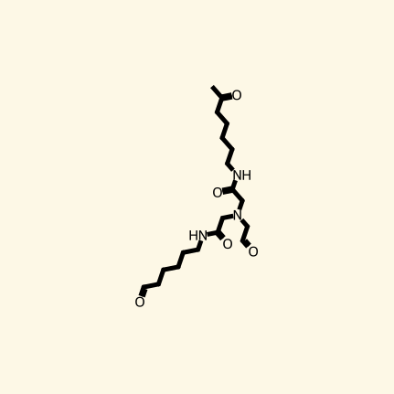 CC(=O)CCCCCNC(=O)CN(CC=O)CC(=O)NCCCCCC=O